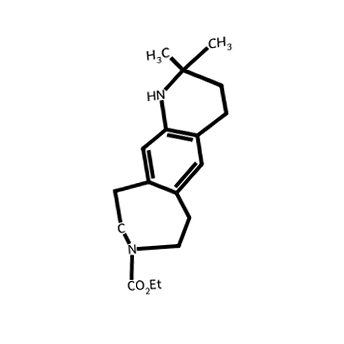 CCOC(=O)N1CCc2cc3c(cc2CC1)NC(C)(C)CC3